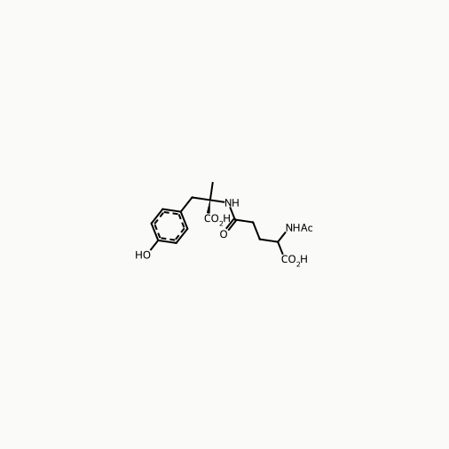 CC(=O)NC(CCC(=O)N[C@@](C)(Cc1ccc(O)cc1)C(=O)O)C(=O)O